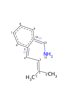 CC(C)=C/C=c1/cccc/c1=C/N